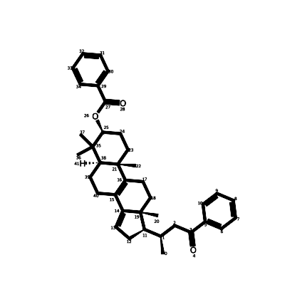 C[C@H](CC(=O)c1ccccc1)[C@H]1CC=C2C3=C(CC[C@@]21C)[C@@]1(C)CC[C@H](OC(=O)c2ccccc2)C(C)(C)[C@@H]1CC3